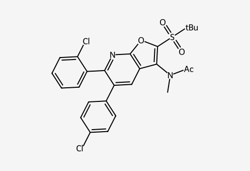 CC(=O)N(C)c1c(S(=O)(=O)C(C)(C)C)oc2nc(-c3ccccc3Cl)c(-c3ccc(Cl)cc3)cc12